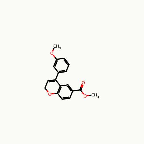 COC(=O)c1ccc2c(c1)C(c1cccc(OC)c1)=CCO2